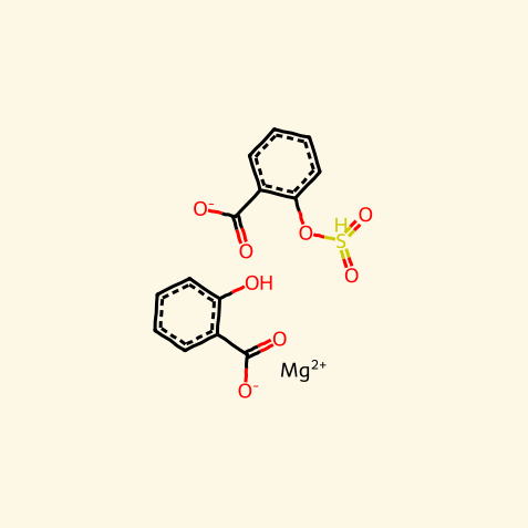 O=C([O-])c1ccccc1O.O=C([O-])c1ccccc1O[SH](=O)=O.[Mg+2]